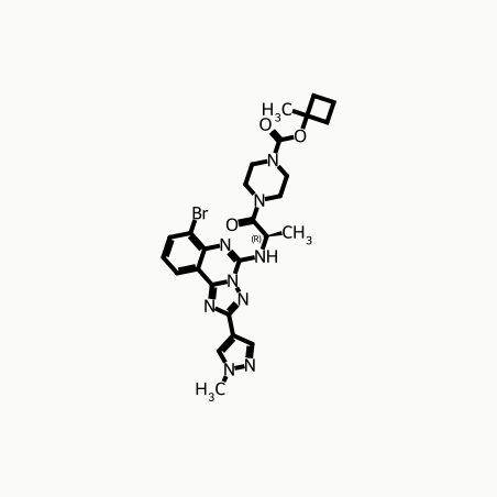 C[C@@H](Nc1nc2c(Br)cccc2c2nc(-c3cnn(C)c3)nn12)C(=O)N1CCN(C(=O)OC2(C)CCC2)CC1